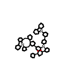 c1ccc(-c2ccc(-c3ccccc3N(c3ccc(-c4cccc(-n5c6ccccc6c6ccccc65)c4)cc3)c3cccc(-c4ccc5c(c4)Cc4ccccc4-n4c6ccccc6c6cccc(c64)Cc4ccccc4-5)c3)cc2)cc1